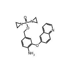 Nc1ccc(COP(=O)(N2CC2)N2CC2)cc1Oc1ccc2ncccc2c1